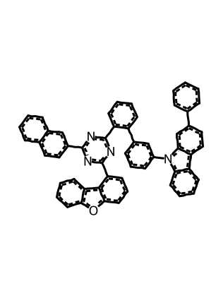 c1ccc(-c2ccc3c4ccccc4n(-c4cccc(-c5ccccc5-c5nc(-c6ccc7ccccc7c6)nc(-c6cccc7oc8ccccc8c67)n5)c4)c3c2)cc1